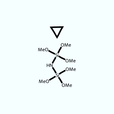 C1CC1.CO[Si](N[Si](OC)(OC)OC)(OC)OC